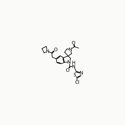 CC(=O)N1CCC2(C1)CN(C(=O)Nc1ncc(Cl)s1)c1ccc(CC(=O)N3CCC3)cc12